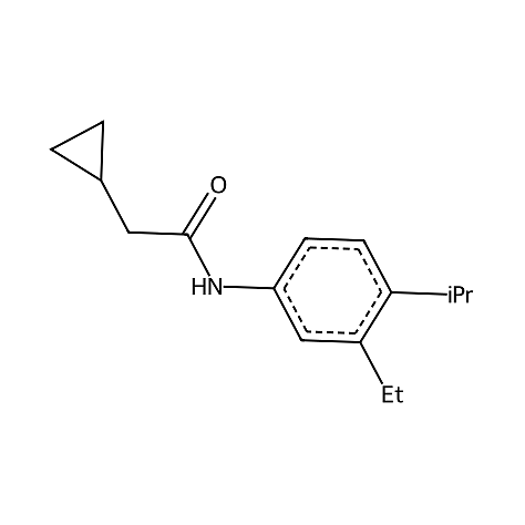 CCc1cc(NC(=O)CC2CC2)ccc1C(C)C